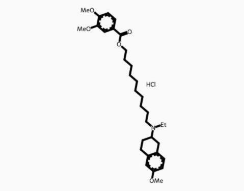 CCN(CCCCCCCCCCOC(=O)c1ccc(OC)c(OC)c1)C1CCc2cc(OC)ccc2C1.Cl